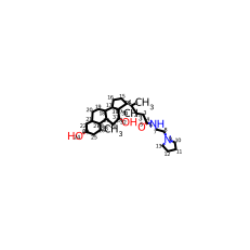 CC(CCC(=O)NCCN1CCCC1)[C@H]1CCC2C3CCC4C[C@H](O)CC[C@]4(C)C3C[C@H](O)[C@@]21C